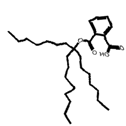 CCCCCCCCC(CCCCCCC)(CCCCCCC)OC(=O)c1ccccc1C(=O)O